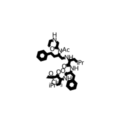 CC(=O)N(C(CCc1ccccc1)CNC(CC(C)C)C(=O)NC(Cc1ccccc1)C(=O)NC(CC(C)C)C(=O)[C@@]1(C)CO1)C1CNCCO1